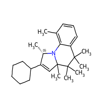 Cc1cccc2c1N1[C@@H](C)C(C3CCCCC3)=CC1(C)C(C)(C)C2(C)C